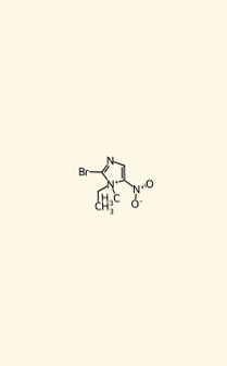 CC[N+]1(C)C([N+](=O)[O-])=CN=C1Br